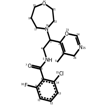 CC1=C(C(CNC(=O)c2c(F)cccc2Cl)N2CCCOCC2)OC=NC1